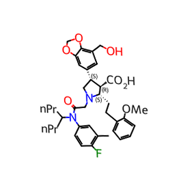 CCCC(CCC)N(C(=O)CN1C[C@H](c2cc(CO)c3c(c2)OCO3)[C@@H](C(=O)O)[C@@H]1CCc1ccccc1OC)c1ccc(F)c(C)c1